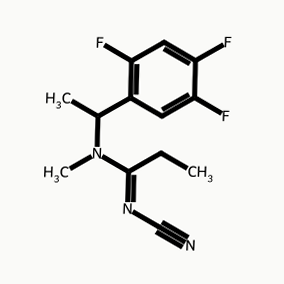 CC/C(=N\C#N)N(C)C(C)c1cc(F)c(F)cc1F